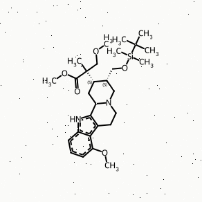 COCC(C)(C(=O)OC)[C@H]1CC2c3[nH]c4cccc(OC)c4c3CCN2C[C@H]1CO[Si](C)(C)C(C)(C)C